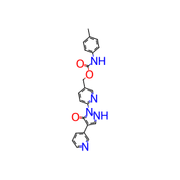 Cc1ccc(NC(=O)OCc2ccc(-n3[nH]cc(-c4cccnc4)c3=O)nc2)cc1